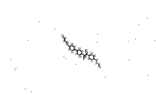 C=CCCc1ccc(/C(F)=C(\F)c2ccc(-c3ccc(CC/C=C/C)cc3)cc2)cc1